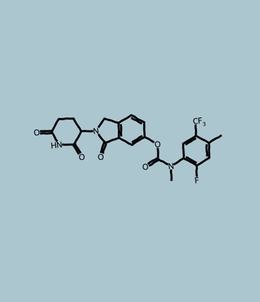 Cc1cc(F)c(N(C)C(=O)Oc2ccc3c(c2)C(=O)N(C2CCC(=O)NC2=O)C3)cc1C(F)(F)F